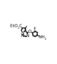 CCOC(=O)c1cn2ncnc(Oc3ccc(N)cc3F)c2c1C